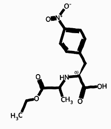 CCOC(=O)C(C)N[C@@H](Cc1ccc([N+](=O)[O-])cc1)C(=O)O